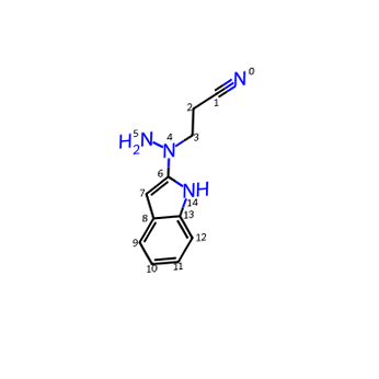 N#CCCN(N)c1cc2ccccc2[nH]1